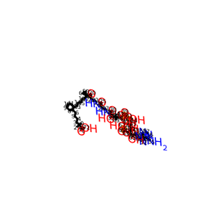 CC(C)(CCCCc1ccccc1CCCCCC1(C(=O)CCNC(=O)CCNC(=O)C(O)C(C)(C)COP(=O)(O)OP(=O)(O)OCC2OC(n3cnc4c(N)ncnc43)C(O)C2OP(=O)(O)O)CC1)C(=O)O